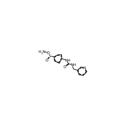 NOS(=O)c1ccc(NC(=O)NCc2cccnc2)cc1